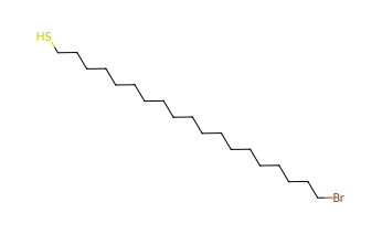 SCCCCCCCCCCCCCCCCCCCBr